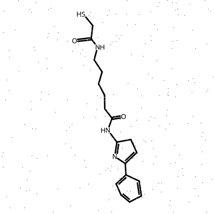 O=C(CS)NCCCCCC(=O)NC1=NC(c2ccccc2)=CC1